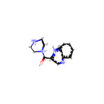 O=C(c1cnc2ccccc2n1)N1CCNCC1